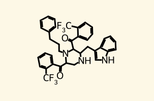 O=C(c1ccccc1C(F)(F)F)C1CNC(Cc2c[nH]c3ccccc23)C(C(=O)c2ccccc2C(F)(F)F)N1CCCc1ccccc1